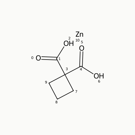 O=C(O)C1(C(=O)O)CCC1.[Zn]